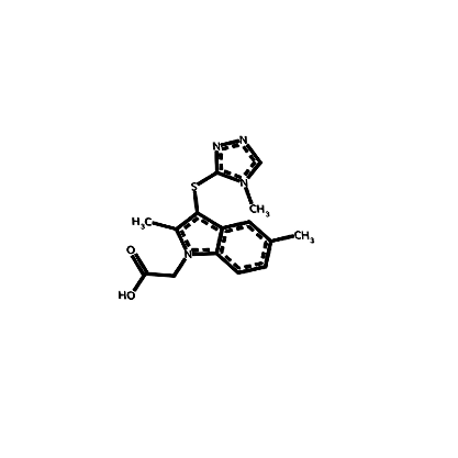 Cc1ccc2c(c1)c(Sc1nncn1C)c(C)n2CC(=O)O